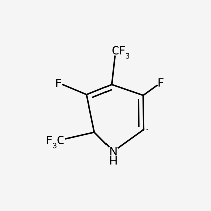 FC1=[C]NC(C(F)(F)F)C(F)=C1C(F)(F)F